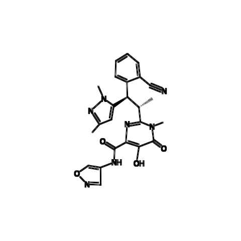 Cc1cc([C@@H](c2ccccc2C#N)[C@H](C)c2nc(C(=O)Nc3cnoc3)c(O)c(=O)n2C)n(C)n1